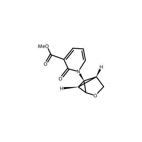 COC(=O)c1cccn([C@]23C4OC[C@@H]2[C@H]43)c1=O